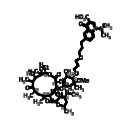 CC[C@H]1OC(=O)[C@H](C)[C@@H](O[C@H]2C[C@@](C)(OC)[C@@H](OCCCOCCCc3ccc4c(c3)c(=O)c(C(=O)O)cn4N(C)C)[C@H](C)O2)[C@H](C)[C@@H](O[C@@H]2O[C@H](C)C[C@H](N(C)C)[C@H]2O)[C@](C)(OC)C[C@@H](C)C(=O)C(C)[C@@H](O)[C@]1(C)O